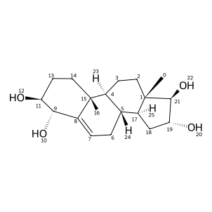 C[C@]12CC[C@H]3[C@@H](CC=C4[C@H](O)[C@@H](O)CC[C@@]43C)[C@@H]1C[C@@H](O)[C@@H]2O